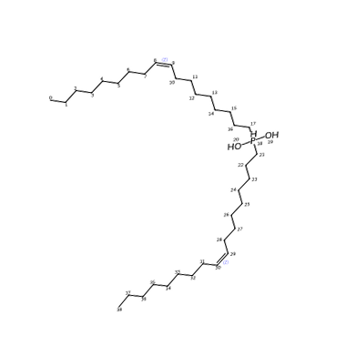 CCCCCCCC/C=C\CCCCCCCC[PH](O)(O)CCCCCCCC/C=C\CCCCCCCC